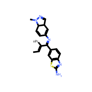 C/C=C(CCC)/C(=N\C1=CC2C=NN(C)C2C=C1)c1ccc2nc(N)sc2c1